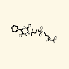 CC(=O)NCCCS(=O)(=O)OCC(C)(C)[C@H]1OC(=O)C(c2ccccc2)OC1=O